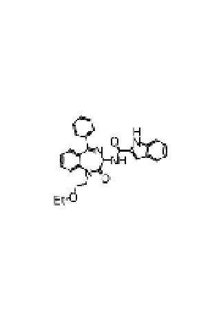 CCOCCN1C(=O)C(NC(=O)c2cc3ccccc3[nH]2)N=C(c2ccccc2)c2ccccc21